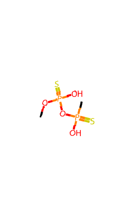 COP(O)(=S)OP(C)(O)=S